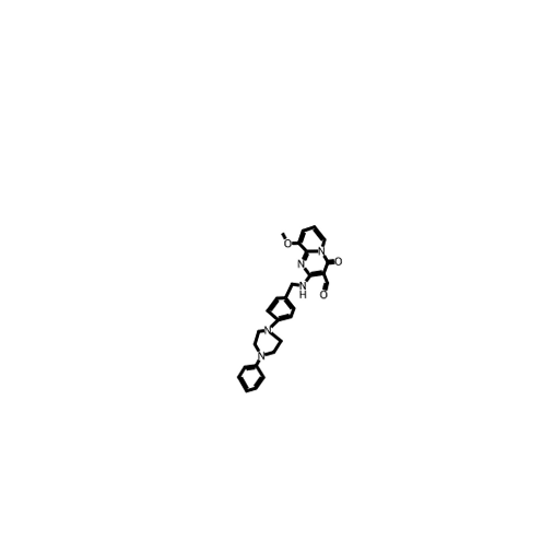 COc1cccn2c(=O)c(C=O)c(NCc3ccc(N4CCN(c5ccccc5)CC4)cc3)nc12